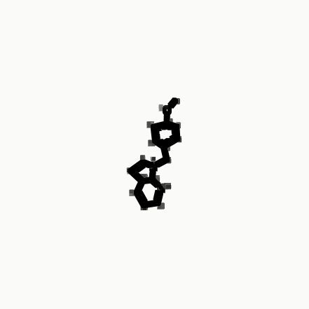 COc1ccc(CN2C=CC3C=CC=NC32)cc1